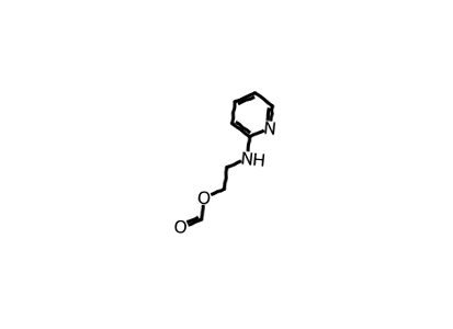 O=COCCNc1ccccn1